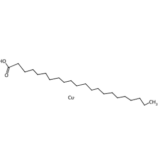 CCCCCCCCCCCCCCCCCCCCCC(=O)O.[Cu]